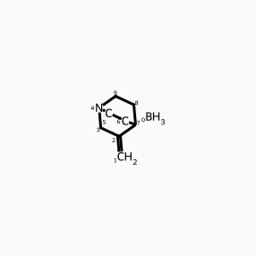 B.C=C1CN2CCC1CC2